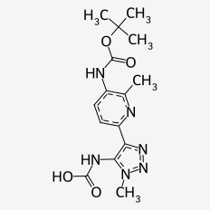 Cc1nc(-c2nnn(C)c2NC(=O)O)ccc1NC(=O)OC(C)(C)C